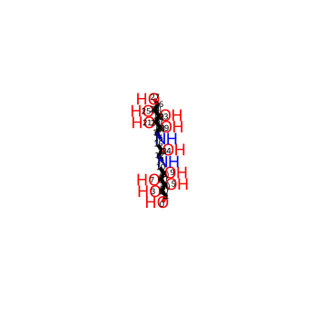 OC[C@@H](O)[C@@H](O)[C@H](O)[C@@H](O)CNCC(O)CNC[C@H](O)[C@@H](O)[C@H](O)[C@H](O)CO